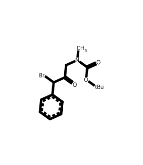 CN(CC(=O)C(Br)c1ccccc1)C(=O)OC(C)(C)C